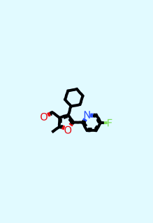 Cc1oc(-c2ccc(F)cn2)c(C2CCCCC2)c1C=O